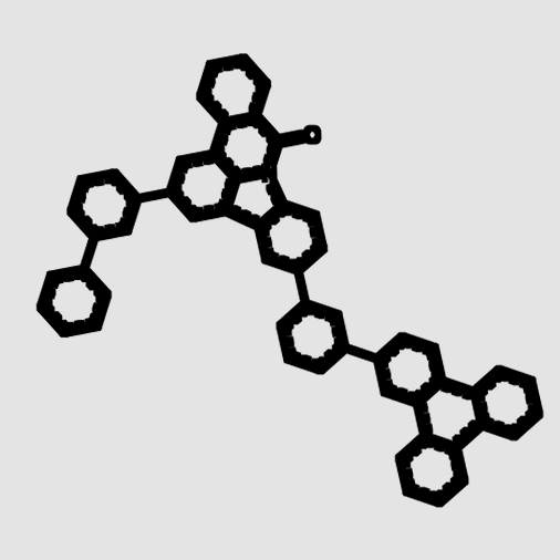 O=c1c2ccccc2c2cc(-c3cccc(-c4ccccc4)c3)cc3c4cc(-c5cccc(-c6ccc7c8ccccc8c8ccccc8c7c6)c5)ccc4n1c23